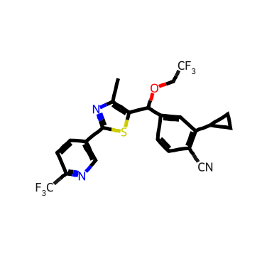 Cc1nc(-c2ccc(C(F)(F)F)nc2)sc1C(OCC(F)(F)F)c1ccc(C#N)c(C2CC2)c1